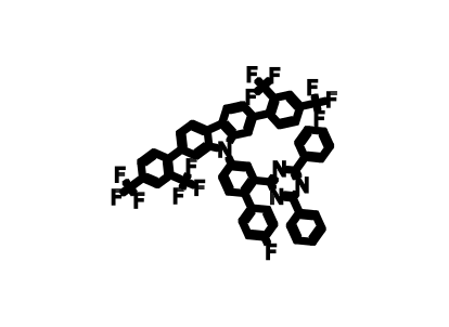 Fc1ccc(-c2ccc(-n3c4cc(-c5ccc(C(F)(F)F)cc5C(F)(F)F)ccc4c4ccc(-c5ccc(C(F)(F)F)cc5C(F)(F)F)cc43)cc2-c2nc(-c3ccccc3)nc(-c3ccccc3)n2)cc1